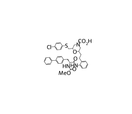 COC(=O)N[C@@H](Cc1ccc(-c2ccccc2)cc1)C(=O)Nc1ccccc1CCC1CN(C(=O)O)CC(CSc2ccc(Cl)cc2)O1